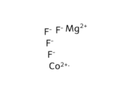 [Co+2].[F-].[F-].[F-].[F-].[Mg+2]